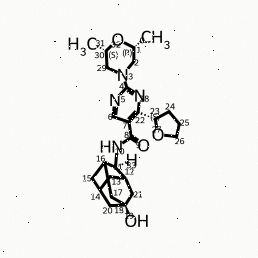 C[C@@H]1CN(c2ncc(C(=O)N[C@H]3C4CC5CC3C[C@@](O)(C5)C4)c([C@@H]3CCCO3)n2)C[C@H](C)O1